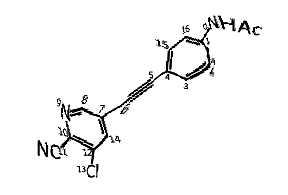 CC(=O)Nc1ccc(C#Cc2cnc(C#N)c(Cl)c2)cc1